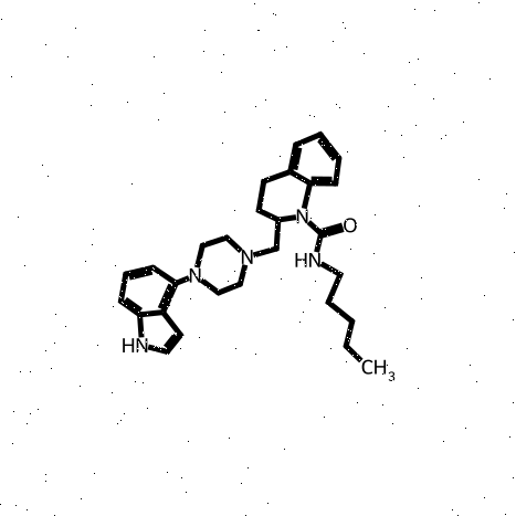 CCCCCNC(=O)N1c2ccccc2CCC1CN1CCN(c2cccc3[nH]ccc23)CC1